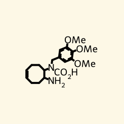 COc1cc(CN(C(=O)O)C2CCC=CCCC2N)cc(OC)c1OC